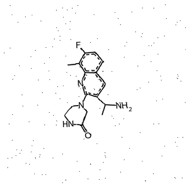 Cc1c(F)ccc2cc(C(C)N)c(N3CCNC(=O)C3)nc12